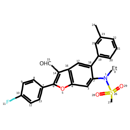 CCN(c1cc2oc(-c3ccc(F)cc3)c(C=O)c2cc1-c1cccc(C)c1)S(C)(=O)=O